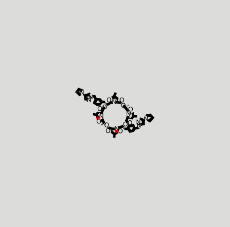 CC(C)C[C@H]1C(=O)O[C@H](Cc2cccc(Cn3cc(-n4cccc4)cn3)c2)C(=O)N(C)[C@@H](CC(C)C)C(=O)O[C@H](C)C(=O)N(C)[C@@H](CC(C)C)C(=O)O[C@H](Cc2ccc(Cn3cc(-n4cccc4)cn3)cc2)C(=O)N(C)[C@@H](CC(C)C)C(=O)O[C@H](C)C(=O)N1C